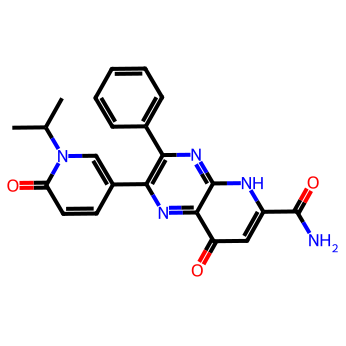 CC(C)n1cc(-c2nc3c(=O)cc(C(N)=O)[nH]c3nc2-c2ccccc2)ccc1=O